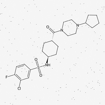 O=C([C@H]1CC[C@H](NS(=O)(=O)c2ccc(F)c(Cl)c2)CC1)N1CCN(C2CCCC2)CC1